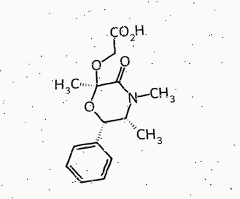 C[C@@H]1[C@H](c2ccccc2)O[C@@](C)(OCC(=O)O)C(=O)N1C